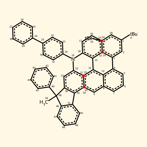 CC(C)(C)c1cc(-c2cccc3cccc(-c4ccccc4N(c4ccc(-c5ccccc5)cc4)c4ccc5c(c4)C(C)(c4ccccc4)c4ccccc4-5)c23)cc(C(C)(C)C)c1